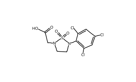 O=C(O)CN1CCN(c2c(Cl)cc(Cl)cc2Cl)S1(=O)=O